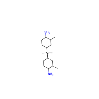 CC1CC([Si](C)(C)C2CCC(N)C(C)C2)CCC1N